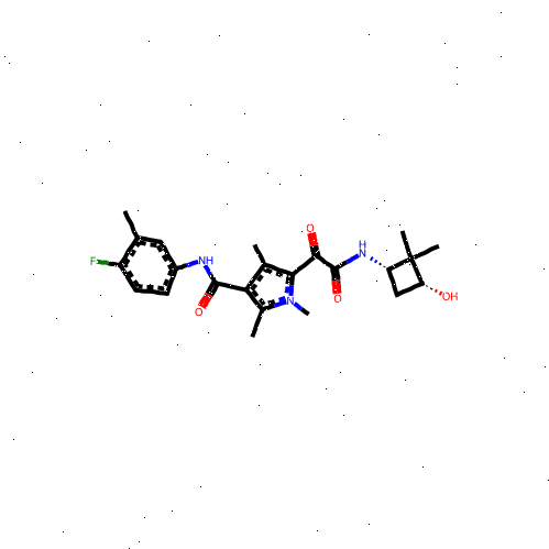 Cc1cc(NC(=O)c2c(C)c(C(=O)C(=O)N[C@H]3C[C@@H](O)C3(C)C)n(C)c2C)ccc1F